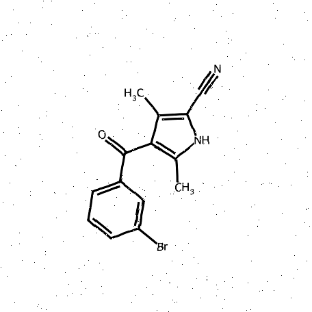 Cc1[nH]c(C#N)c(C)c1C(=O)c1cccc(Br)c1